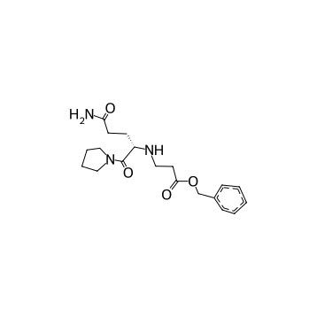 NC(=O)CC[C@H](NCCC(=O)OCc1ccccc1)C(=O)N1CCCC1